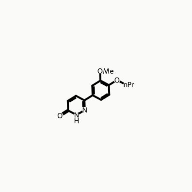 CCCOc1ccc(-c2ccc(=O)[nH]n2)cc1OC